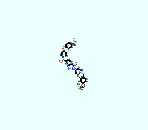 O=C(NC1CCN(Cc2ccc(OC(F)(F)F)cc2)CC1)c1ccc(C(=O)N2CCC(Oc3ccc(S(F)(F)(F)(F)F)cc3)CC2)nc1